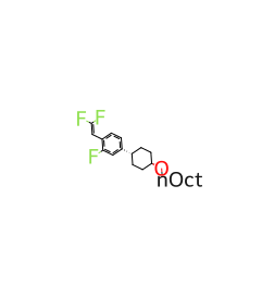 CCCCCCCCO[C@H]1CC[C@H](c2ccc(C=C(F)F)c(F)c2)CC1